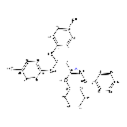 Fc1ccc(SC(C/C(=N/Sc2ccccc2)OC2CCCCC2)Sc2ccc(F)cc2)cc1